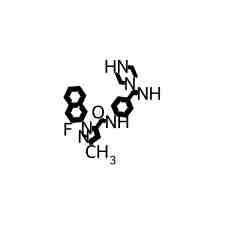 Cc1cc(C(=O)Nc2ccc(C(=N)N3CCNCC3)cc2)n(-c2cc3ccccc3cc2F)n1